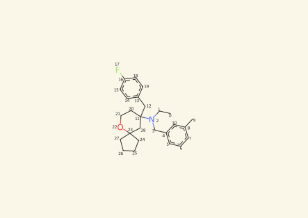 CCN(Cc1cccc(C)c1)C1(Cc2ccc(F)cc2)CCOC2(CCCC2)C1